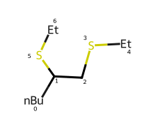 CCCCC(CSCC)SCC